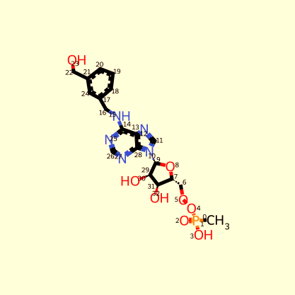 CP(=O)(O)OOC[C@H]1O[C@@H](n2cnc3c(NCc4cccc(CO)c4)ncnc32)[C@H](O)[C@@H]1O